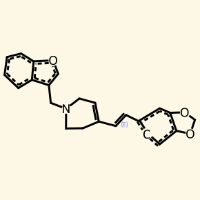 C1=C(/C=C/c2ccc3c(c2)OCO3)CCN(Cc2coc3ccccc23)C1